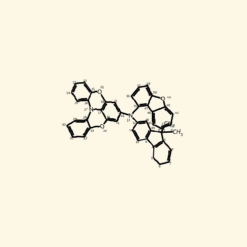 CC1(C)C2=C(CCC=C2)c2ccc(N(c3cc4c5c(c3)Oc3ccccc3N5c3ccccc3O4)c3cccc4oc5ccccc5c34)cc21